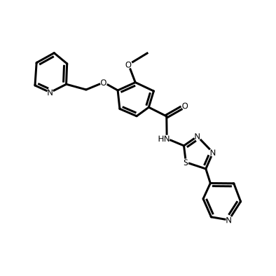 COc1cc(C(=O)Nc2nnc(-c3ccncc3)s2)ccc1OCc1ccccn1